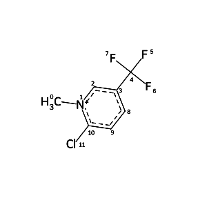 C[n+]1cc(C(F)(F)F)ccc1Cl